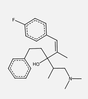 CC(=Cc1ccc(F)cc1)C(O)(CCc1ccccc1)C(C)CN(C)C